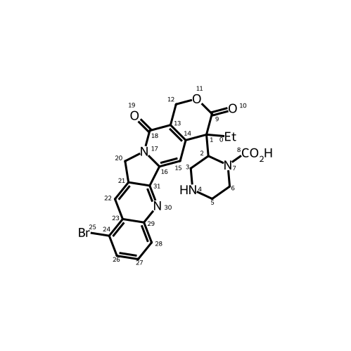 CCC1(C2CNCCN2C(=O)O)C(=O)OCc2c1cc1n(c2=O)Cc2cc3c(Br)cccc3nc2-1